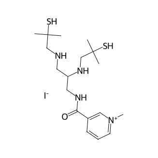 C[n+]1cccc(C(=O)NCC(CNCC(C)(C)S)NCC(C)(C)S)c1.[I-]